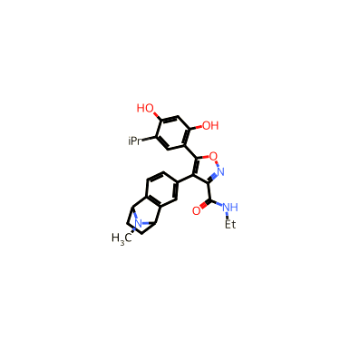 CCNC(=O)c1noc(-c2cc(C(C)C)c(O)cc2O)c1-c1ccc2c(c1)C1CCC2N1C